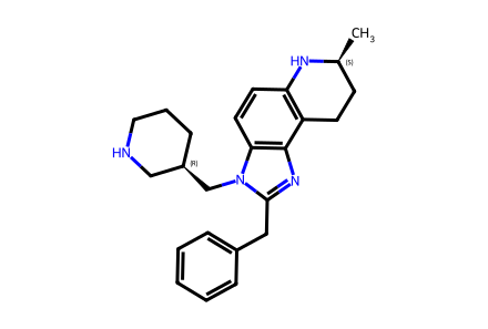 C[C@H]1CCc2c(ccc3c2nc(Cc2ccccc2)n3C[C@@H]2CCCNC2)N1